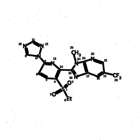 CCS(=O)(=O)c1ccc(-n2cncn2)nc1-c1nc2cc(C(F)(F)F)cnc2n1C